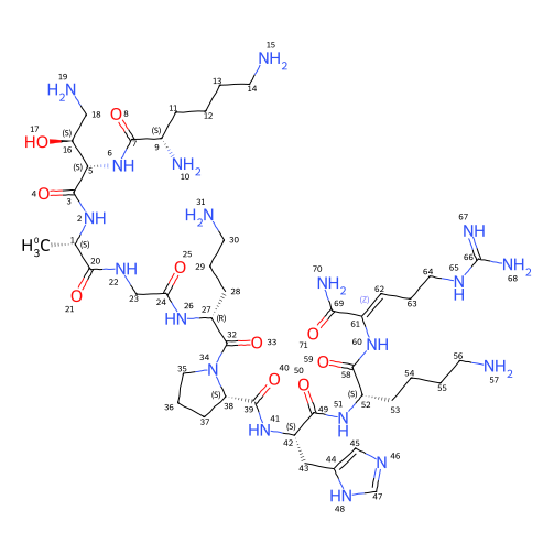 C[C@H](NC(=O)[C@@H](NC(=O)[C@@H](N)CCCCN)[C@@H](O)CN)C(=O)NCC(=O)N[C@H](CCCN)C(=O)N1CCC[C@H]1C(=O)N[C@@H](Cc1cnc[nH]1)C(=O)N[C@@H](CCCCN)C(=O)N/C(=C\CCNC(=N)N)C(N)=O